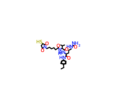 CCc1ccc(NC(=O)C(CCCNC(N)=O)NC(=O)C(NC(=O)CCCCCN2C(=O)CC(S)C2=O)C(C)C)cc1